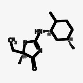 CC1CC[C@H](C)C[C@@H]1NC1=NC(=O)[C@@](C)(CC(F)(F)F)S1